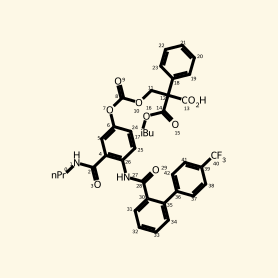 CCCNC(=O)c1cc(OC(=O)OCC(C(=O)O)(C(=O)OC(C)CC)c2ccccc2)ccc1NC(=O)c1ccccc1-c1ccc(C(F)(F)F)cc1